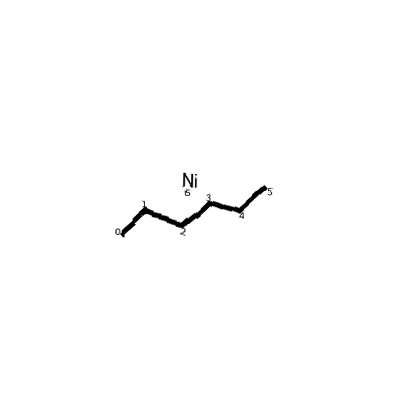 CCCCCC.[Ni]